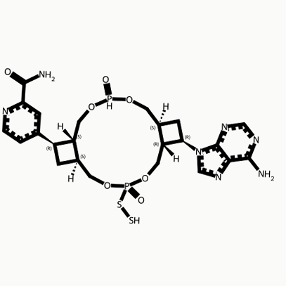 NC(=O)c1cc([C@@H]2C[C@@H]3COP(=O)(SS)OC[C@@H]4[C@@H](CO[PH](=O)OC[C@H]32)C[C@H]4n2cnc3c(N)ncnc32)ccn1